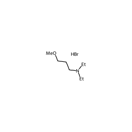 Br.CCN(CC)CCCOC